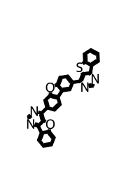 c1ccc2c(c1)oc1c(-c3ccc4c(c3)oc3ccc(-c5ncnc6c5sc5ccccc56)cc34)ncnc12